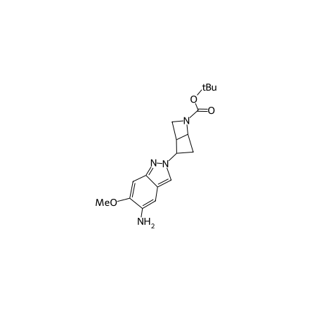 COc1cc2nn(C3CC4C3CN4C(=O)OC(C)(C)C)cc2cc1N